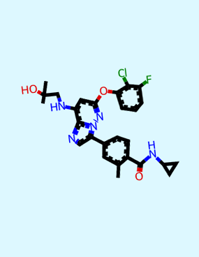 Cc1cc(-c2cnc3c(NCC(C)(C)O)cc(Oc4cccc(F)c4Cl)nn23)ccc1C(=O)NC1CC1